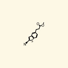 COC(=O)CCc1ccc2sc(C#N)cc2c1